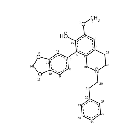 COc1cc2c(c(-c3ccc4c(c3)OCO4)c1O)CN(CCc1ccccc1)CC2